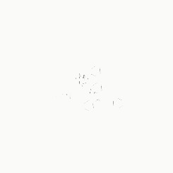 O=C(OCC(F)(F)F)N1CCC(c2cccc([C@H](CCc3ccccc3)c3ccc(-c4cc(Cl)ccc4-n4cnnn4)c[n+]3[O-])c2)CC1